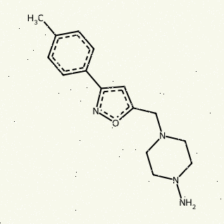 Cc1ccc(-c2cc(CN3CCN(N)CC3)on2)cc1